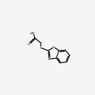 [NH]C(=O)CSc1nc2ccccc2s1